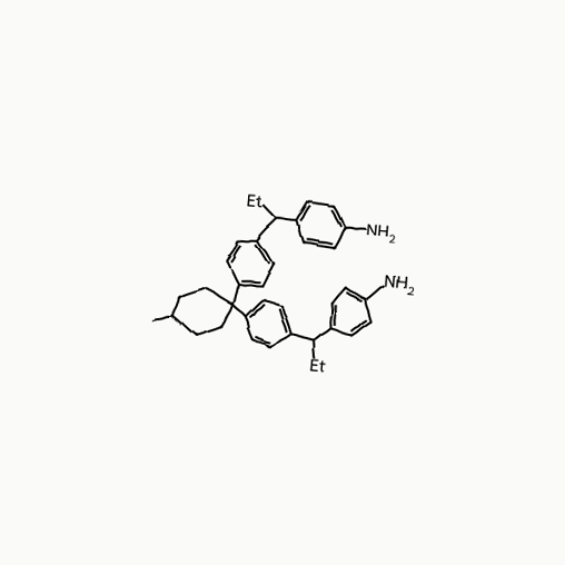 CCC(c1ccc(N)cc1)c1ccc(C2(c3ccc(C(CC)c4ccc(N)cc4)cc3)CCC(C)CC2)cc1